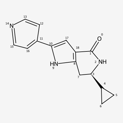 O=C1N[C@@H](C2CC2)Cc2[nH]c(-c3ccncc3)cc21